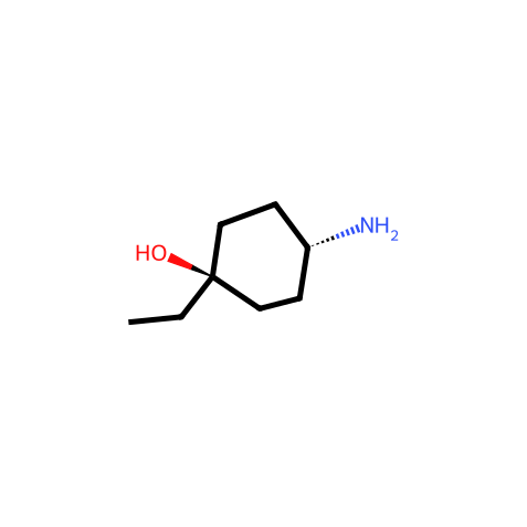 CC[C@]1(O)CC[C@H](N)CC1